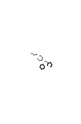 COc1ccc(N(Cc2cnccc2C)C2CCN(C(C)CCN)CC2)cc1